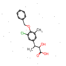 Cc1cc(C(C)C(O)C(=O)O)cc(Cl)c1OCc1ccccc1